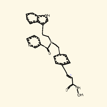 O=C(/C=C/c1ccc(CN(CCc2c[nH]c3ccccc23)C(=O)c2cccnc2)cc1)NO